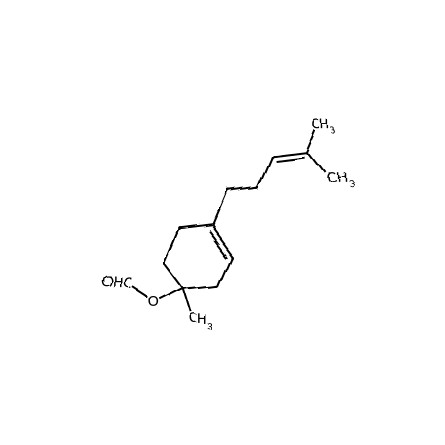 CC(C)=CCCC1=CCC(C)(OC=O)CC1